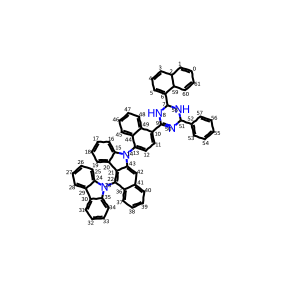 C1=CC2C=CC=C(C3NC(c4ccc(-n5c6ccccc6c6c(-n7c8ccccc8c8ccccc87)c7ccccc7cc65)c5ccccc45)=NC(c4ccccc4)N3)C2C=C1